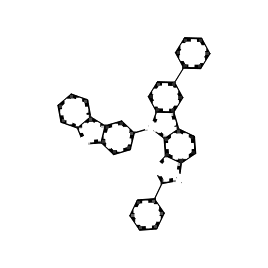 c1ccc(-c2ccc3c(c2)c2ccc4nc(-c5ccccc5)oc4c2n3-c2ccc3oc4ccccc4c3c2)cc1